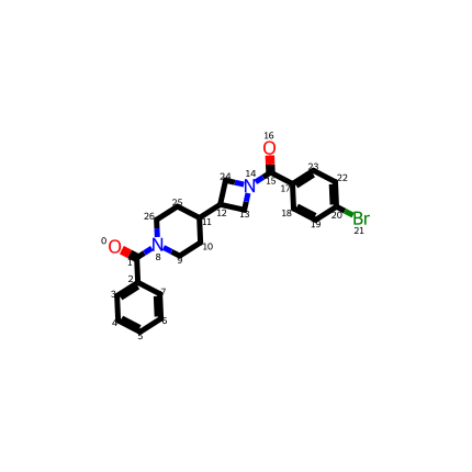 O=C(c1ccccc1)N1CCC(C2CN(C(=O)c3ccc(Br)cc3)C2)CC1